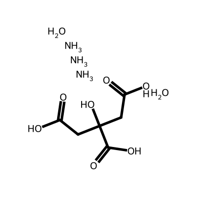 N.N.N.O.O.O=C(O)CC(O)(CC(=O)O)C(=O)O